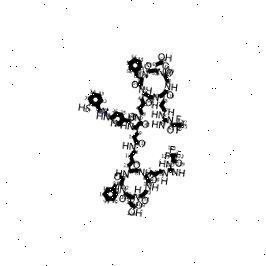 N=C(NCCC[C@@H]1NC(=O)[C@H](CCCCNC(=O)CC[C@H](NC(=O)c2ccc(N/N=C/c3ccccc3S)nc2)C(=O)NCCCC[C@@H]2NC(=O)[C@@H](Cc3ccccc3)NC(=O)[C@H](CC(=O)O)NC(=O)CNC(=O)[C@H](CCCNC(=N)NC(=O)C(F)(F)F)NC2=O)NC(=O)[C@@H](Cc2ccccc2)NC(=O)[C@H](CC(=O)O)NC(=O)CNC1=O)NC(=O)C(F)(F)F